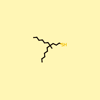 CCCCCCC(C)(CCCS)CCCCCC